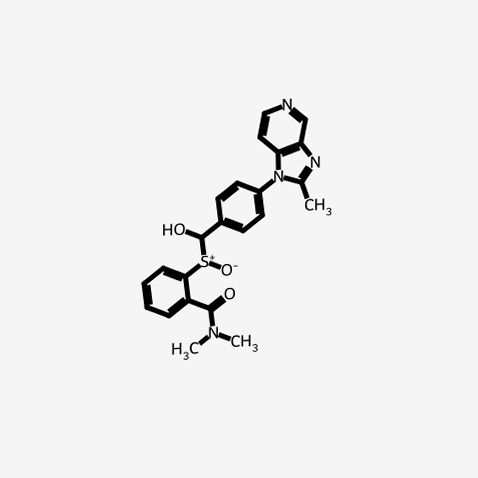 Cc1nc2cnccc2n1-c1ccc(C(O)[S+]([O-])c2ccccc2C(=O)N(C)C)cc1